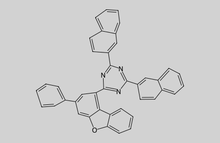 c1ccc(-c2cc(-c3nc(-c4ccc5ccccc5c4)nc(-c4ccc5ccccc5c4)n3)c3c(c2)oc2ccccc23)cc1